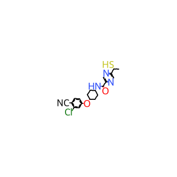 CC(S)c1cnc(C(=O)N[C@H]2CC[C@H](Oc3ccc(C#N)c(Cl)c3)CC2)cn1